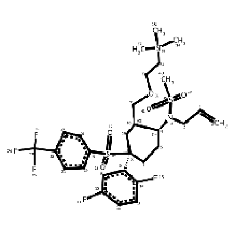 C=CCN([C@H]1CC[C@@](c2cc(F)ccc2F)(S(=O)(=O)c2ccc(C(F)(F)F)cc2)C[C@H]1COCC[Si](C)(C)C)S(C)(=O)=O